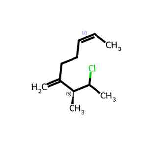 C=C(CC/C=C\C)[C@H](C)C(C)Cl